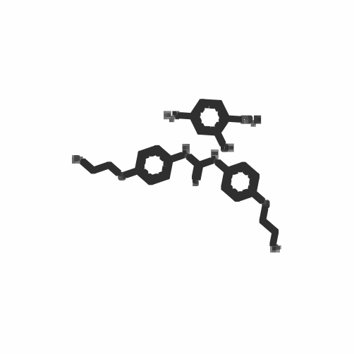 CC(C)CCOc1ccc(NC(=S)Nc2ccc(OCCC(C)C)cc2)cc1.Nc1ccc(C(=O)O)c(O)c1